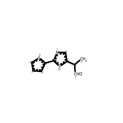 CC(C=O)c1cnc(-c2cccs2)s1